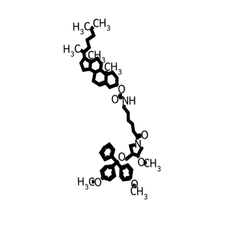 COc1ccc(C(OCC2CN(C(=O)CCCCCNC(=O)OC3CCC4(C)C(=CCC5C4CCC4(C)C(C(C)CCCC(C)C)CCC54)C3)CC2OC)(c2ccccc2)c2ccc(OC)cc2)cc1